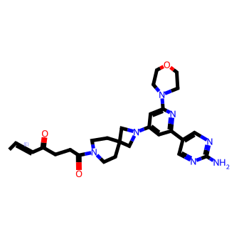 C/C=C/C(=O)CCC(=O)N1CCC2(CC1)CN(c1cc(-c3cnc(N)nc3)nc(N3CCOCC3)c1)C2